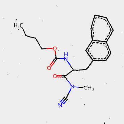 CCCCOC(=O)NC(Cc1ccc2ccccc2c1)C(=O)N(C)C#N